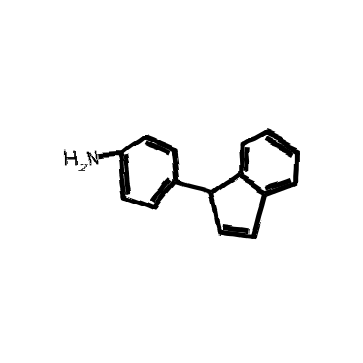 Nc1ccc(C2C=Cc3ccccc32)cc1